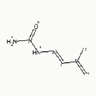 C=C(C)C=CNC(N)=O